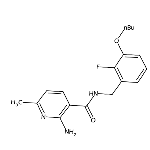 CCCCOc1cccc(CNC(=O)c2ccc(C)nc2N)c1F